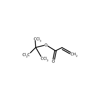 C=CC(=O)OC(C(Cl)(Cl)Cl)(C(Cl)(Cl)Cl)C(Cl)(Cl)Cl